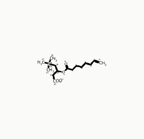 C=CCCCCCC(=O)OC(CC(=O)[O-])C[N+](C)(C)C